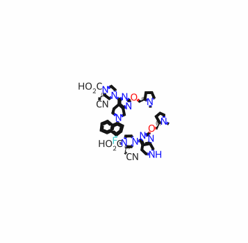 CN1CCC[C@@H]1COc1nc2c(c(N3CCN(C(=O)O)[C@@H](CC#N)C3)n1)CCN(c1ccc(F)c3ccccc13)C2.CN1CCC[C@@H]1COc1nc2c(c(N3CCN(C(=O)O)[C@@H](CC#N)C3)n1)CCNC2